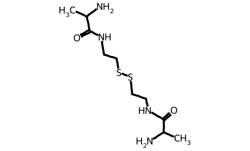 CC(N)C(=O)NCCSSCCNC(=O)C(C)N